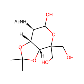 CC(=O)N[C@H]1C(O)OC(CO)(CO)[C@@H]2OC(C)(C)O[C@@H]21